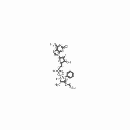 C[C@H](NP(=O)(Oc1ccccc1)OP(=O)(O)OCC1OC(n2cnc3c(N)nc(Cl)nc32)C(F)C1O)C(=O)OCC(C)(C)C